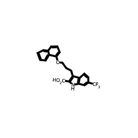 O=C(O)c1[nH]c2cc(C(F)(F)F)ccc2c1CCCOc1cccc2ccccc12